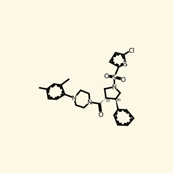 Cc1ccc(N2CCN(C(=O)[C@@H]3CN(S(=O)(=O)c4ccc(Cl)s4)C[C@H]3c3ccccc3)CC2)c(C)c1